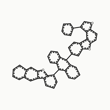 c1ccc(-c2coc3ccc4oc5cc(-c6c7ccccc7c(-c7cccc8c7oc7cc9ccccc9cc78)c7ccccc67)ccc5c4c23)cc1